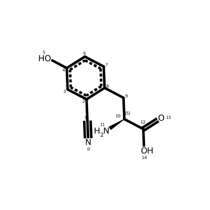 N#Cc1cc(O)ccc1C[C@H](N)C(=O)O